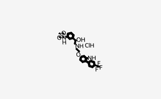 CS(=O)(=O)Nc1cccc(C(O)CNCCOc2ccc3c(c2)[nH]c2cc(C(F)(F)F)ccc23)c1.Cl